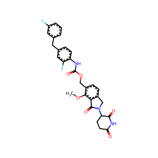 COc1c(COC(=O)Nc2ccc(Cc3cccc(F)c3)cc2F)ccc2c1C(=O)N(C1CCC(=O)NC1=O)C2